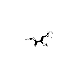 CCCOC(=O)C(C)=C[SiH2]C